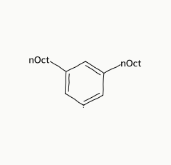 CCCCCCCCc1c[c]cc(CCCCCCCC)c1